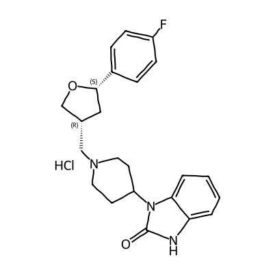 Cl.O=c1[nH]c2ccccc2n1C1CCN(C[C@@H]2CO[C@H](c3ccc(F)cc3)C2)CC1